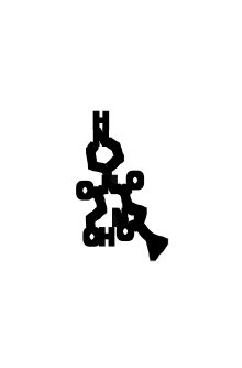 O=C(CCO)N(C(=O)c1cc(C2CC2)on1)C1CCNCC1